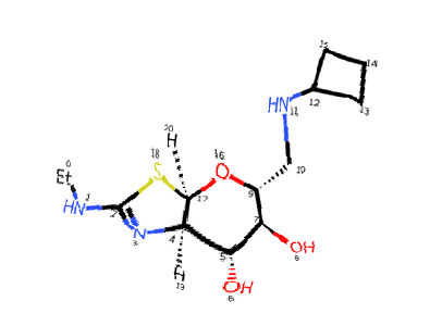 CCNC1=N[C@@H]2[C@@H](O)[C@H](O)[C@@H](CNC3CCC3)O[C@@H]2S1